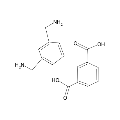 NCc1cccc(CN)c1.O=C(O)c1cccc(C(=O)O)c1